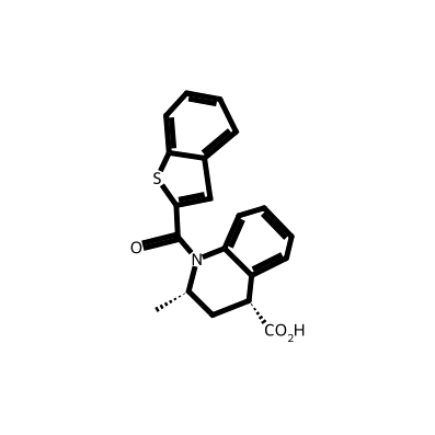 C[C@H]1C[C@@H](C(=O)O)c2ccccc2N1C(=O)c1cc2ccccc2s1